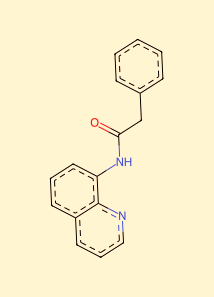 O=C(Cc1ccccc1)Nc1cccc2cccnc12